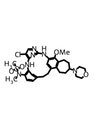 COc1c2cc(c3c1CCC(N1CCOCC1)CC3)CCc1ccc(N(C)S(C)(=O)=O)c(c1)Nc1nc(ncc1Cl)N2